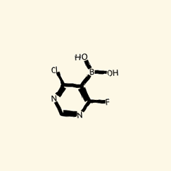 OB(O)c1c(F)ncnc1Cl